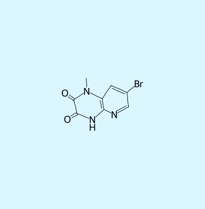 Cn1c(=O)c(=O)[nH]c2ncc(Br)cc21